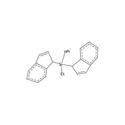 CCC[Si](CC)(C1C=Cc2ccccc21)C1C=Cc2ccccc21